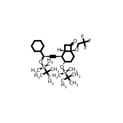 CC(C)(C)[Si](C)(C)O[C@H]1CC[C@@]2(OCC(F)(F)F)C(=O)C[C@H]2[C@@H]1C#C[C@@H](O[Si](C)(C)C(C)(C)C)C1CCCCC1